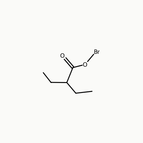 CCC(CC)C(=O)OBr